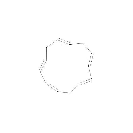 [C]1=C/C/C=C/C=C\C/C=C/C=C/C/1